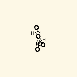 c1ccc(-c2nc3cc(Nc4nnc(-c5ccccc5)c5ccccc45)ccc3[nH]2)cc1